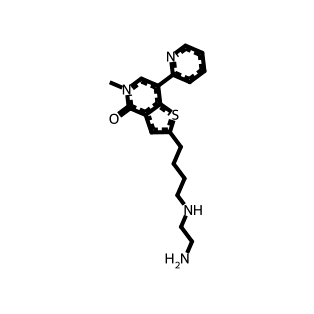 Cn1cc(-c2ccccn2)c2sc(CCCCNCCN)cc2c1=O